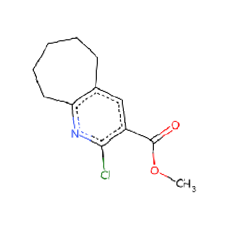 COC(=O)c1cc2c(nc1Cl)CCCCC2